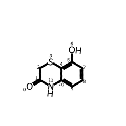 O=C1CSc2c(O)cccc2N1